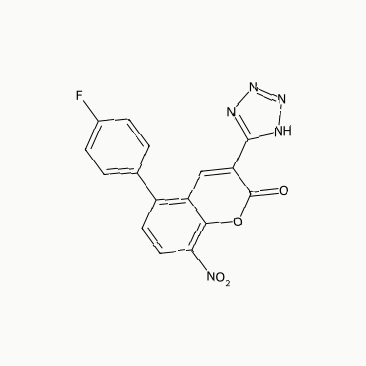 O=c1oc2c([N+](=O)[O-])ccc(-c3ccc(F)cc3)c2cc1-c1nnn[nH]1